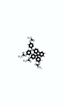 CC(=O)Oc1ccc([S+](c2ccc(OC(C)=O)cc2)c2ccc3c(c2)C(c2ccc(OC(C)=O)cc2)(c2ccc(OC(C)=O)cc2)c2ccccc2-3)cc1